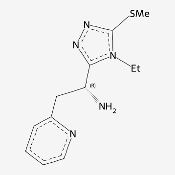 CCn1c(SC)nnc1[C@H](N)Cc1ccccn1